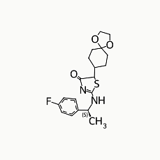 C[C@H](NC1=NC(=O)C(C2CCC3(CC2)OCCO3)S1)c1ccc(F)cc1